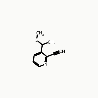 C#Cc1ncccc1C(C)SC